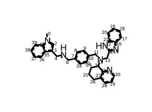 Cn1cc(CNCc2ccc(CN(Cc3nc4ccccc4[nH]3)C3CCCc4cccnc43)cc2)c2ccccc21